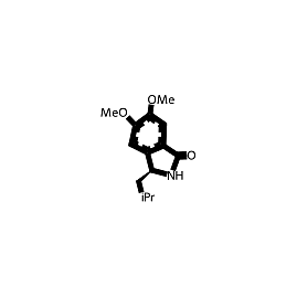 COc1cc2c(cc1OC)[C@H](CC(C)C)NC2=O